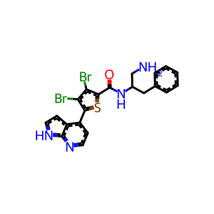 NCC(Cc1ccccc1)NC(=O)c1sc(-c2ccnc3[nH]ccc23)c(Br)c1Br